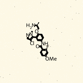 COc1ccc(C(=O)Nc2ccc(OC[C@H](C)N)c(-c3c(Cl)cnn3C)c2)c(F)c1